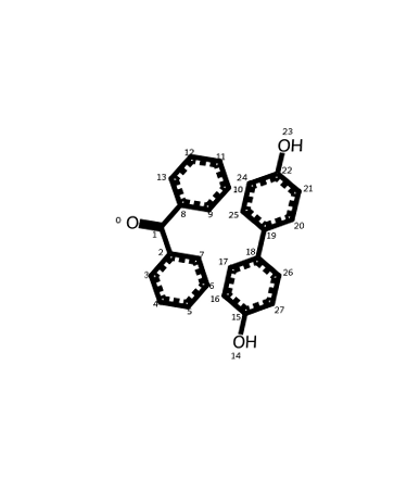 O=C(c1ccccc1)c1ccccc1.Oc1ccc(-c2ccc(O)cc2)cc1